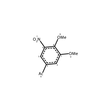 COc1cc(C(C)=O)cc([N+](=O)[O-])c1OC